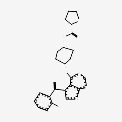 O=C(c1ccccc1Cl)c1c[nH]c2ncnc(N[C@H]3CC[C@@H](NC(=O)[C@@H]4CCCO4)CC3)c12